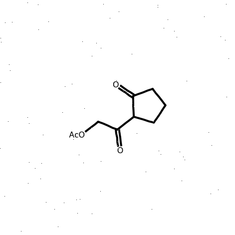 CC(=O)OCC(=O)C1CCCC1=O